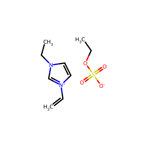 C=C[n+]1ccn(CC)c1.CCOS(=O)(=O)[O-]